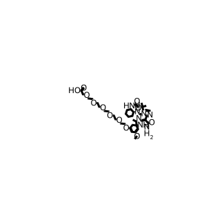 CCC1(Nc2nc(N[C@H]3CCCC[C@H]3NC(=O)OC(C)(C)C)n3ccnc3c2C(N)=O)C=C(OC)C=C(OCCOCCOCCOCCOCCOCC(=O)O)C1